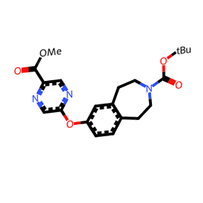 COC(=O)c1cnc(Oc2ccc3c(c2)CCN(C(=O)OC(C)(C)C)CC3)cn1